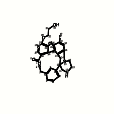 O=C1NCc2cccc(c2)C23CNCCN2c2cc(F)c(Cl)c(c2C3)-c2c1cnc(OCCO)c2F